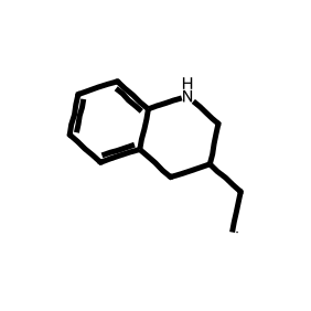 [CH2]CC1CNc2ccccc2C1